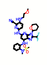 COCCNc1ccc(Nc2cc(Nc3ccccc3N(C)S(C)(=O)=O)c3nc(C(F)F)n(C4CCCCO4)c3n2)nc1C#N